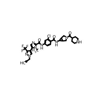 C#CCn1cc(-c2cnc(C(=O)Nc3ccc(C(=O)NC4C5CN(C(=O)C6CCNCC6)CC54)c(Cl)c3)n2C)c(C(F)(F)F)n1